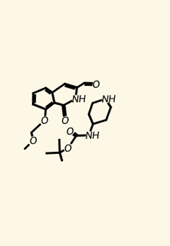 CC(C)(C)OC(=O)NC1CCNCC1.COCOc1cccc2cc(C=O)[nH]c(=O)c12